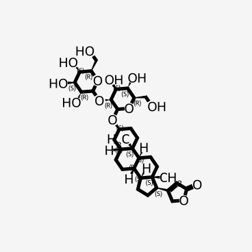 C[C@]12CC[C@H](OC3O[C@H](CO)[C@@H](O)[C@H](O)[C@H]3OC3O[C@H](CO)[C@@H](O)[C@H](O)[C@H]3O)C[C@H]1CC[C@@H]1[C@@H]2CC[C@]2(C)[C@@H](C3=CC(=O)OC3)CC[C@@H]12